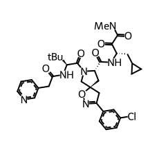 CNC(=O)C(=O)[C@H](CC1CC1)NC(=O)[C@@H]1C[C@]2(CC(c3cccc(Cl)c3)=NO2)CN1C(=O)[C@@H](NC(=O)Cc1cccnc1)C(C)(C)C